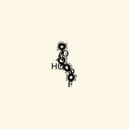 O=C(CN1CCC(O)(c2ccc(Oc3ccc(F)cc3)cc2)CC1)c1ccccc1